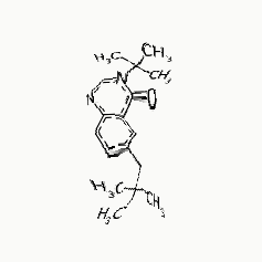 CC(C)(C)Cc1ccc2ncn(C(C)(C)C)c(=O)c2c1